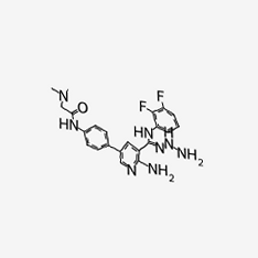 CN(C)CC(=O)Nc1ccc(-c2cnc(N)c(/C(=N/NN)Nc3cccc(F)c3F)c2)cc1